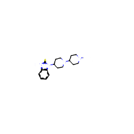 CCOC(=O)N1CCC(N2CCC(n3c(=S)[nH]c4ccccc43)CC2)CC1